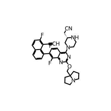 C#Cc1c(F)ccc2cccc(-c3c(F)cc4c(N5CCN[C@@H](CC#N)C5)nc(OCC56CCCN5CCC6)nc4c3F)c12